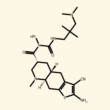 CCCN(C(=O)NCC(C)(C)CN(C)C)C(=O)[C@@H]1C[C@@H]2Cc3c(sc(N)c3C#N)C[C@H]2N(C)C1